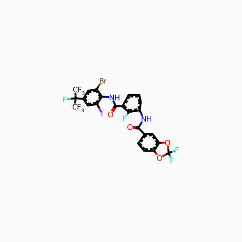 O=C(Nc1cccc(C(=O)Nc2c(Br)cc(C(F)(C(F)(F)F)C(F)(F)F)cc2I)c1F)c1ccc2c(c1)OC(F)(F)O2